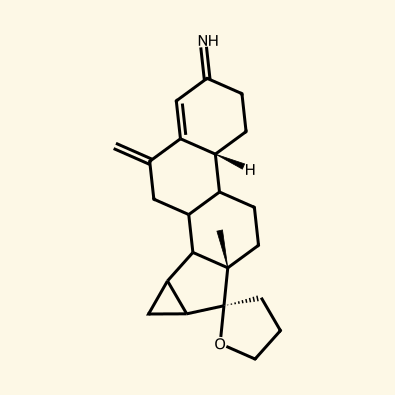 C=C1CC2C(CC[C@@]3(C)C2C2CC2[C@@]32CCCO2)[C@H]2CCC(=N)C=C12